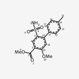 COC(=O)c1cc(S(N)(=O)=O)c(-c2ccc(C)cc2)cc1OC